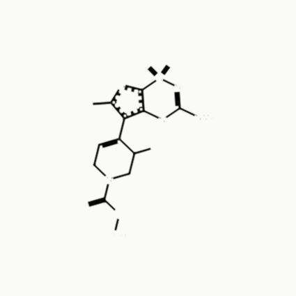 CCc1sc2c(c1C1=CCN(C(=O)OC(C)(C)C)CC1C)NC(NC)=NS2(=O)=O